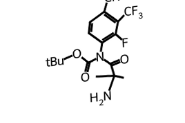 CC(C)(C)OC(=O)N(C(=O)C(C)(C)N)c1ccc(C#N)c(C(F)(F)F)c1F